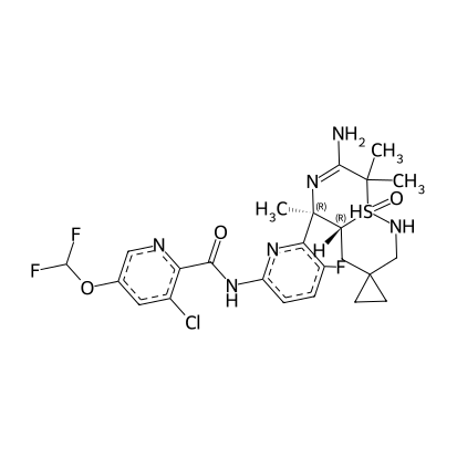 CC1(C)C(N)=N[C@](C)(c2nc(NC(=O)c3ncc(OC(F)F)cc3Cl)ccc2F)[C@H]2CC3(CC3)CN[SH]21=O